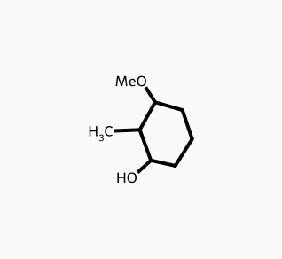 COC1CCCC(O)C1C